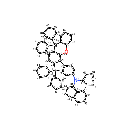 c1ccc(N(c2ccc3c(c2)C(c2ccccc2)(c2ccccc2)c2ccc4c(c2-3)Oc2ccccc2[Si]4(c2ccccc2)c2ccccc2)c2cccc3ccccc23)cc1